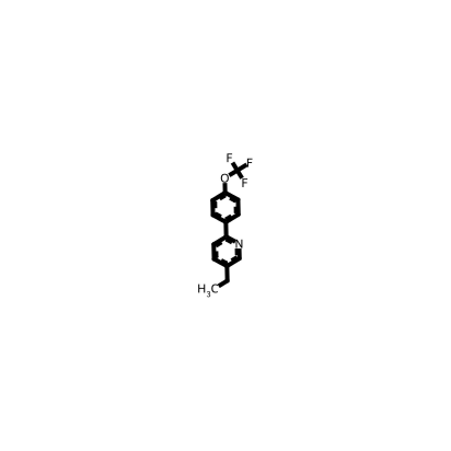 CCc1ccc(-c2ccc(OC(F)(F)F)cc2)nc1